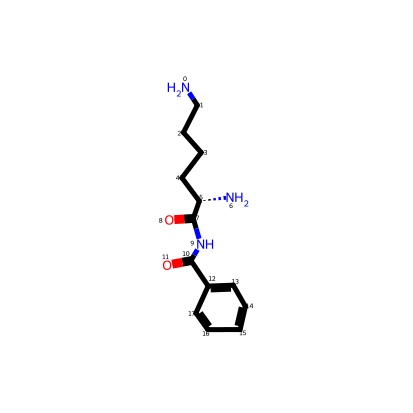 NCCCC[C@H](N)C(=O)NC(=O)c1ccccc1